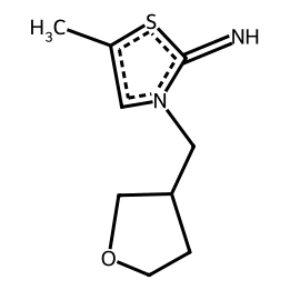 Cc1cn(CC2CCOC2)c(=N)s1